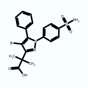 CC(C)(C(=O)O)c1nn(-c2ccc(S(N)(=O)=O)cc2)c(-c2ccccc2)c1Br